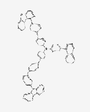 c1cc(-c2ccc(-c3ccc(N(c4ccc(-c5ccc(-c6cccc7oc8ccccc8c67)cc5)cc4)c4ccc(-c5cccc6ccccc56)cc4)cc3)cc2)cc(-n2c3ccccc3c3ccccc32)c1